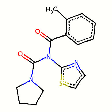 Cc1ccccc1C(=O)N(C(=O)N1CCCC1)c1nccs1